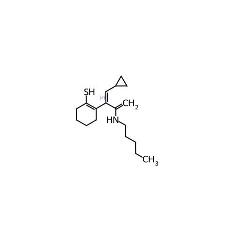 C=C(NCCCCC)/C(=C\C1CC1)C1=C(S)CCCC1